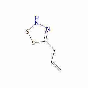 C=CCC1=NNSS1